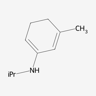 CC1=CC(NC(C)C)=CCC1